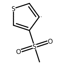 CS(=O)(=O)c1[c]csc1